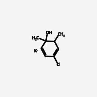 CC1C=C(Cl)C=CC1(C)O.[K]